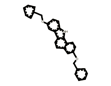 c1ccc(COc2ccc3c(ccc4c5cc(OCc6ccccc6)ccc5[nH]c34)c2)cc1